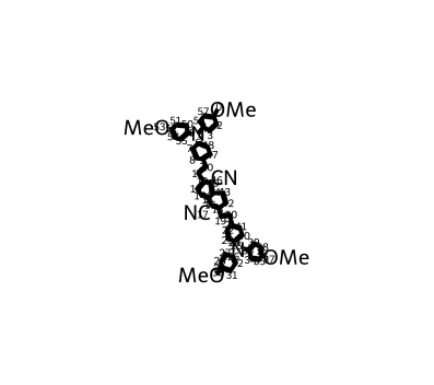 COc1ccc(N(c2ccc(C=Cc3ccc4c(C#N)c(C=Cc5ccc(N(c6ccc(OC)cc6)c6ccc(OC)cc6)cc5)ccc4c3C#N)cc2)c2ccc(OC)cc2)cc1